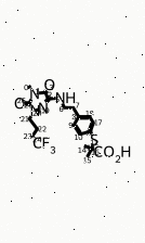 Cn1c(=O)c(NCCc2ccc(SC(C)(C)C(=O)O)cc2)nn(CCCC(F)(F)F)c1=O